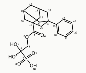 O=C(OCC(O)(O)S(=O)(=O)O)C12CC3CC(C1)CC(c1ccccc1)(C3)C2